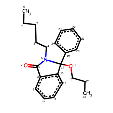 CCCCCN1C(=O)c2ccccc2C1(OCCC)c1ccccc1